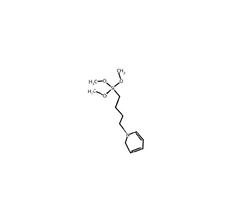 CO[Si](CCCCN1C=CC=CC1)(OC)OC